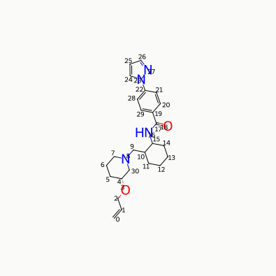 C=CCO[C@@H]1CCCN(CC2CCCCC2NC(=O)c2ccc(-n3cccn3)cc2)C1